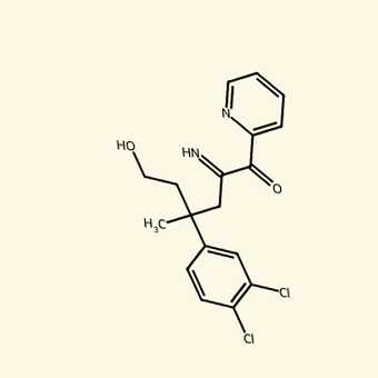 CC(CCO)(CC(=N)C(=O)c1ccccn1)c1ccc(Cl)c(Cl)c1